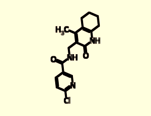 Cc1c2c([nH]c(=O)c1CNC(=O)c1ccc(Cl)nc1)CCCC2